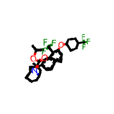 CC(C)OC(=O)C1CC2CCCC(C1)N2C(C)c1ccc2ccc(OC3CCC(C(F)(F)F)CC3)c(C(F)(F)F)c2c1